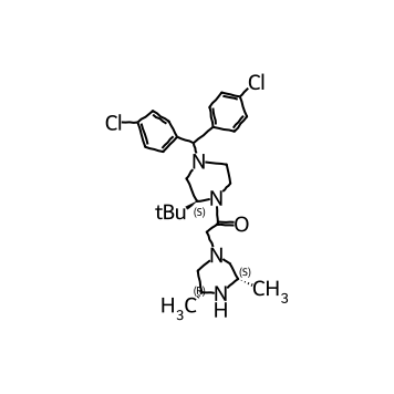 C[C@@H]1CN(CC(=O)N2CCN(C(c3ccc(Cl)cc3)c3ccc(Cl)cc3)C[C@@H]2C(C)(C)C)C[C@H](C)N1